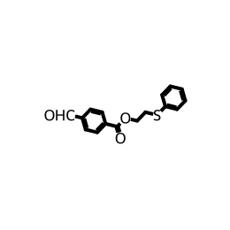 O=Cc1ccc(C(=O)OCCSc2ccccc2)cc1